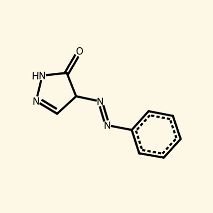 O=C1NN=CC1N=Nc1ccccc1